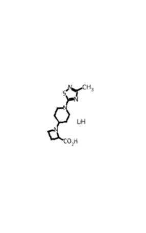 Cc1nsc(N2CCC(N3CCC3C(=O)O)CC2)n1.[LiH]